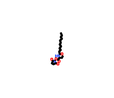 CCCCCCCCCCCC(=O)NC(CC)C(=O)ON1C(=O)CCC1=O